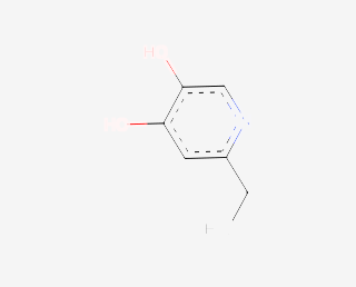 CCc1cc(O)c(O)cn1